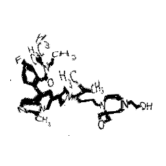 CCN(C(=O)c1cc(F)ccc1-c1cc(C2CN([C@H](CCCN3CCN(CCO)CC34COC4)C(C)C)C2)cn2c(C)ncc12)C(C)C